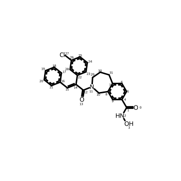 O=C(NO)c1ccc2c(c1)CN(C(=O)/C(=C/c1ccccc1)c1cccc(Cl)c1)CCC2